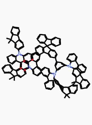 CC1(C)c2ccccc2-c2cc(N(c3cc(-c4ccc5c(c4)-c4cc(-c6cc7cc(c6)N(c6ccccc6-c6ccccc6)c6ccc8c(c6)C(C)(c6ccccc6-8)c6cccc8c6-c6ccc(cc6C8(C)C)N7c6ccccc6-c6ccccc6)ccc4C54c5ccccc5-c5ccccc54)cc(N(c4ccc5c(c4)C(C)(C)c4ccccc4-5)c4ccccc4-c4ccccc4)c3)c3ccccc3-c3ccccc3)ccc21